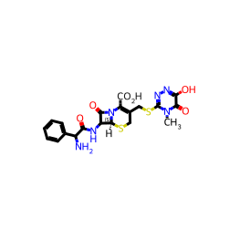 Cn1c(SCC2=C(C(=O)O)N3C(=O)C(NC(=O)C(N)c4ccccc4)[C@@H]3SC2)nnc(O)c1=O